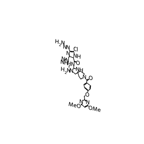 COc1cc(OC)nc(COc2ccc(C(=O)N3CCC4(CC3)CN(N)C(NC(=O)C3NC(Cl)=C(N=NN)N=C3N=NN)N4)cc2)n1